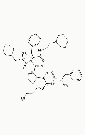 NCCCC[C@H](NC(=O)[C@@H](N)Cc1ccccc1)C(=O)N1CCC[C@H]1C(=O)N(C(=O)[C@H](N)CC1CCCCC1)[C@@H](Cc1ccccc1)C(=O)NCCN1CCCCC1